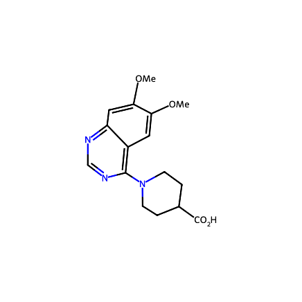 COc1cc2ncnc(N3CCC(C(=O)O)CC3)c2cc1OC